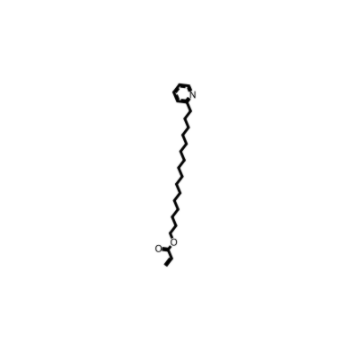 C=CC(=O)OCCCCCCCCCCCCCCCCc1ccccn1